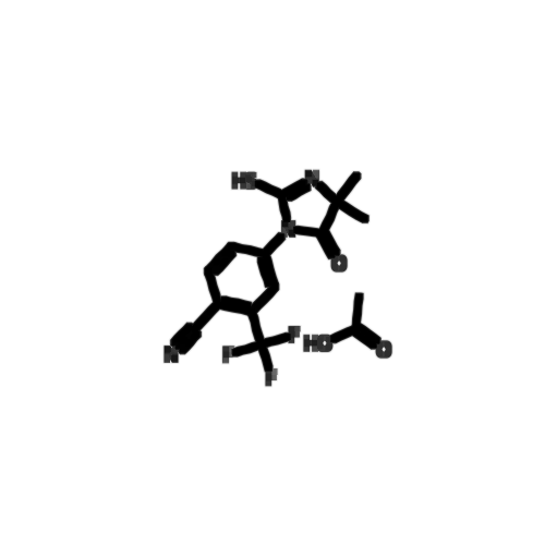 CC(=O)O.CC1(C)N=C(S)N(c2ccc(C#N)c(C(F)(F)F)c2)C1=O